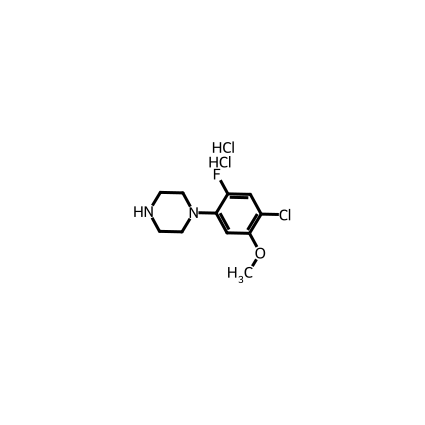 COc1cc(N2CCNCC2)c(F)cc1Cl.Cl.Cl